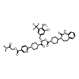 CN(C)C(=O)COC(=O)c1ccc(N2CCN(C(=O)[C@@H](Cc3cc(Cl)c(N)c(C(F)(F)F)c3)OC(=O)N3CCC(N4CCc5ccccc5NC4=O)CC3)CC2)nc1